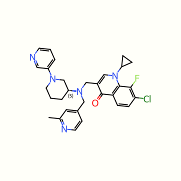 Cc1cc(CN(Cc2cn(C3CC3)c3c(F)c(Cl)ccc3c2=O)[C@H]2CCCN(c3cccnc3)C2)ccn1